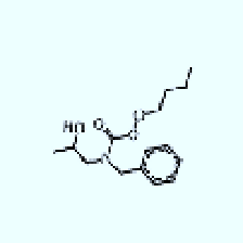 CCCCOOC(=O)N(Cc1ccccc1)CC(C)O